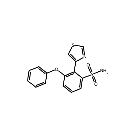 NS(=O)(=O)c1cccc(Oc2ccccc2)c1-c1cscn1